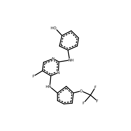 Oc1cccc(Nc2ncc(F)c(Nc3cccc(OC(F)(F)F)c3)n2)c1